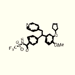 COc1ccc(C(Cc2ccncc2)c2ccc(C(=O)NS(=O)(=O)C(F)(F)F)cc2)cc1OC1CCCC1